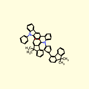 CC1(C)c2ccccc2-c2c(-c3ccc(N(c4ccccc4-c4ccc5c(c4)c4ccccc4n5-c4ccccc4)c4cccc5c4-c4ccccc4C5(C)C)cc3)cccc21